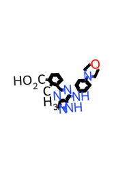 Cc1c(C(=O)O)cccc1-c1nc(Nc2ccc(N3CCOCC3)cc2)c2[nH]ncc2n1